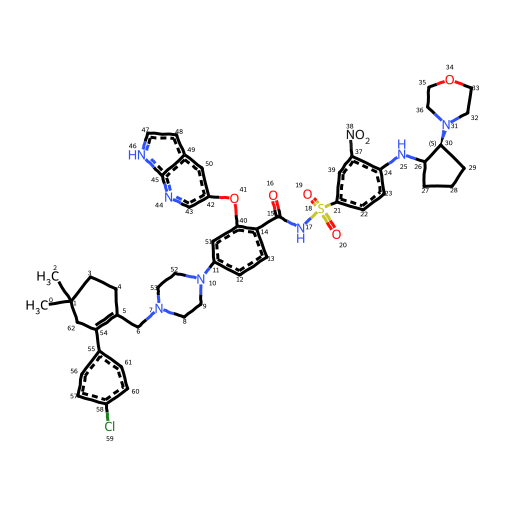 CC1(C)CCC(CN2CCN(c3ccc(C(=O)NS(=O)(=O)c4ccc(NC5CCC[C@@H]5N5CCOCC5)c([N+](=O)[O-])c4)c(Oc4cnc5[nH]ccc5c4)c3)CC2)=C(c2ccc(Cl)cc2)C1